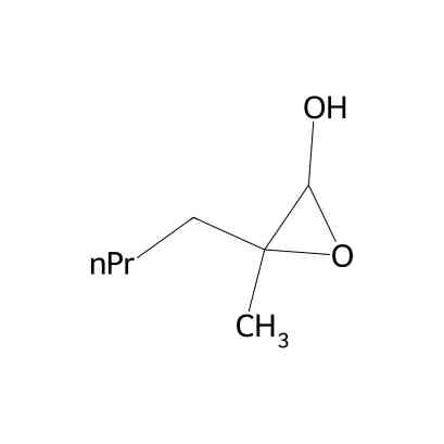 CCCCC1(C)OC1O